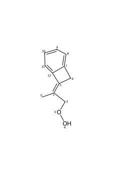 C/C(COO)=C1/Cc2ccccc21